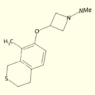 CNN1CC(Oc2ccc3c(c2C)CSCC3)C1